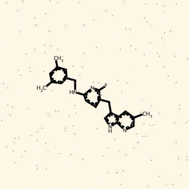 Cc1cc(C)cc(CNc2ccc(Cc3c[nH]c4ncc(C)cc34)c(F)n2)c1